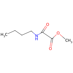 CCCCNC(=O)C(=O)OC